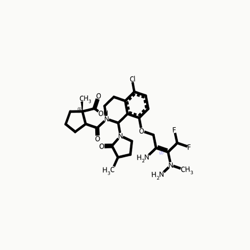 CC1CCN(C2c3c(OC/C(N)=C(\C(F)F)N(C)N)ccc(Cl)c3CCN2C(=O)C2CCC[C@]2(C)C(=O)O)C1=O